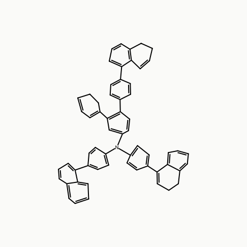 C1=CCCC(c2cc(N(c3ccc(C4=CCCc5ccccc54)cc3)c3ccc(-c4cccc5ccccc45)cc3)ccc2-c2ccc(-c3cccc4c3C=CCC4)cc2)=C1